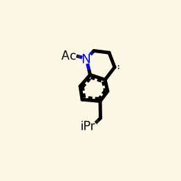 CC(=O)N1CC[C]c2cc(CC(C)C)ccc21